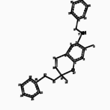 Cc1cc2c(cc1NCc1ccccc1)C=CC(C)(CCc1ccccc1)O2